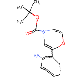 CC(C)(C)OC(=O)N1C=COC(C2=C(N)C=CCC2)=C1